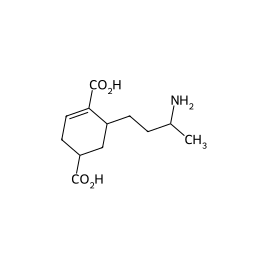 CC(N)CCC1CC(C(=O)O)CC=C1C(=O)O